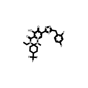 CCN1C(=O)c2c(O)c(=O)c(-c3nnc(Cc4ccc(F)cc4F)s3)cn2N(C)C12CCC(C(F)(F)F)CC2